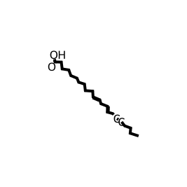 CCCCCCC/C=C/C/C=C/CCCCCCCCCC(=O)O